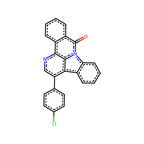 O=c1c2ccccc2c2ncc(-c3ccc(Cl)cc3)c3c4ccccc4n1c23